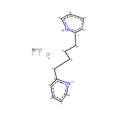 [Cl-].[Cl-].[Pt+2].c1ccc(CCCCc2ccccn2)nc1